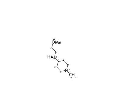 COCC[AsH]C1CCN(C)CC1